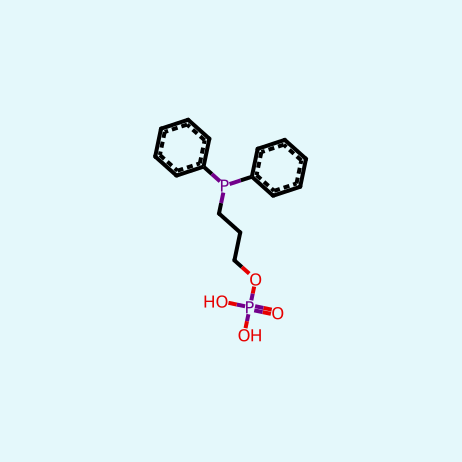 O=P(O)(O)OCCCP(c1ccccc1)c1ccccc1